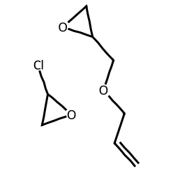 C=CCOCC1CO1.ClC1CO1